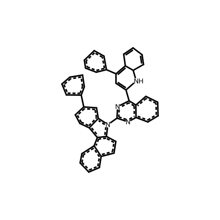 C1=CC2=C(c3ccccc3)C=C(c3nc(-n4c5cc(-c6ccccc6)ccc5c5c6ccccc6ccc54)nc4ccccc34)NC2C=C1